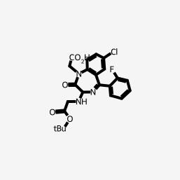 CC(C)(C)OC(=O)CNC1N=C(c2ccccc2F)c2cc(Cl)ccc2N(CC(=O)O)C1=O